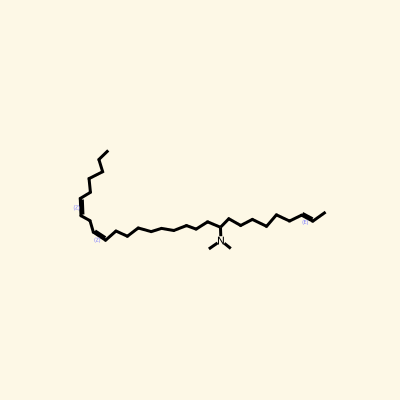 C/C=C/CCCCCCC(CCCCCCCCC/C=C\C/C=C\CCCCC)N(C)C